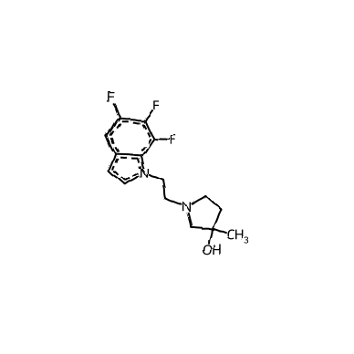 CC1(O)CCN(CCn2ccc3cc(F)c(F)c(F)c32)C1